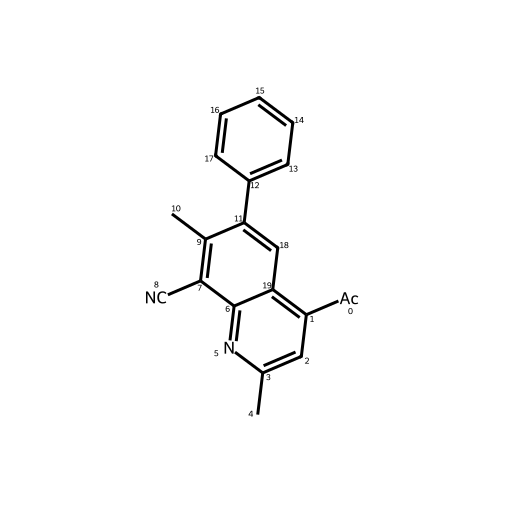 CC(=O)c1cc(C)nc2c(C#N)c(C)c(-c3ccccc3)cc12